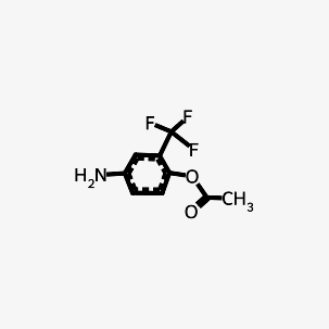 CC(=O)Oc1ccc(N)cc1C(F)(F)F